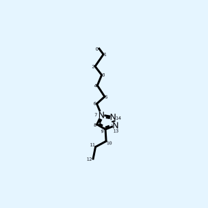 CCCCCCCn1cc(CCC)nn1